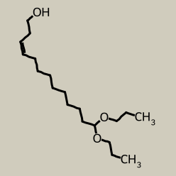 CCCOC(CCCCCCCC/C=C\CCO)OCCC